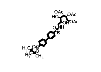 CC(=O)OC[C@@H](OC(C)=O)[C@@H](OC(C)=O)[C@H](O)[C@@H](O)CNS(=O)(=O)c1ccc(-c2ccc(B3OC(C)(C)C(C)(C)O3)cc2)cc1